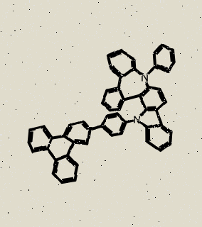 c1ccc(N2c3ccccc3-c3ccccc3-c3c2ccc2c4ccccc4n(-c4ccc(-c5ccc6c7ccccc7c7ccccc7c6c5)cc4)c32)cc1